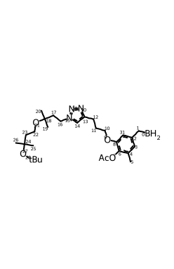 BCc1cc(C)c(OC(C)=O)c(OCCCc2cn(CCC(C)(C)OCCC(C)(C)OC(C)(C)C)nn2)c1